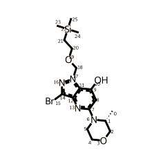 C[C@@H]1COCCN1c1cc(O)c2c(n1)c(Br)nn2COCC[Si](C)(C)C